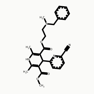 COC(=O)C1=C(C)NC(C)=C(C(=O)OCCN(C)Cc2ccccc2)C1c1cccc(C#N)n1